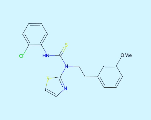 COc1cccc(CCN(C(=S)Nc2ccccc2Cl)c2nccs2)c1